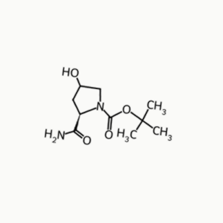 CC(C)(C)OC(=O)N1CC(O)C[C@@H]1C(N)=O